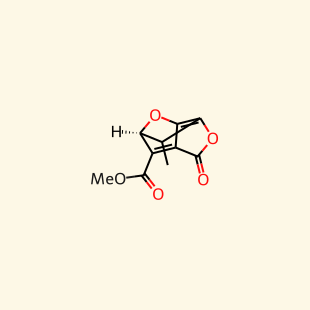 COC(=O)C1=C2C(=O)OC3=C2O[C@H]1C3C